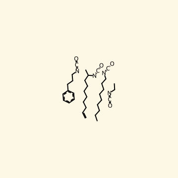 C=CCCCCCCC(C)N=C=O.CCCCCCCCCN=C=O.CCN=C=O.O=C=NCCCc1ccccc1